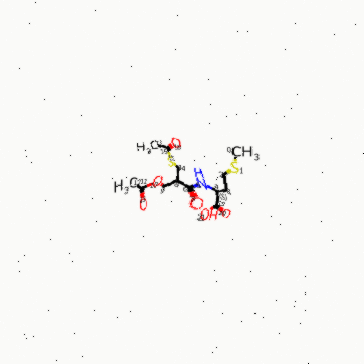 CSCC[C@H](NC(=O)C(COC(C)=O)CSC(C)=O)C(=O)O